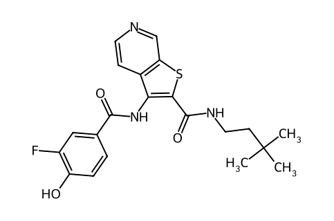 CC(C)(C)CCNC(=O)c1sc2cnccc2c1NC(=O)c1ccc(O)c(F)c1